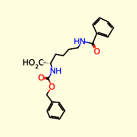 O=C(N[C@@H](CCCCNC(=O)c1ccccc1)C(=O)O)OCc1ccccc1